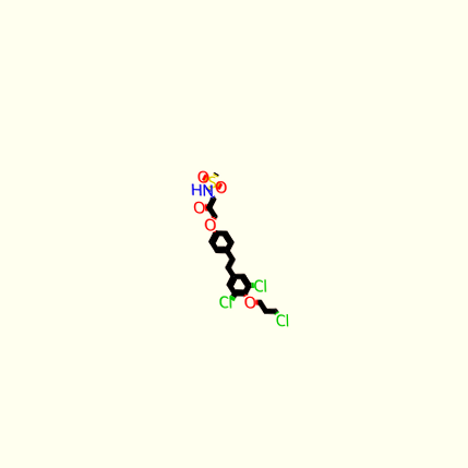 CS(=O)(=O)NCC(=O)COc1ccc(CCc2cc(Cl)c(OCCCCl)c(Cl)c2)cc1